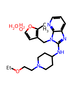 CCOCCN1CCC(Nc2nc3cccnc3n2Cc2ccoc2C)CC1.O.O